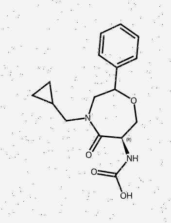 O=C(O)N[C@@H]1COC(c2ccccc2)CN(CC2CC2)C1=O